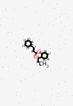 C=CC(OC(=O)C=Cc1ccccc1)c1ccccc1